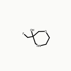 OC1(CF)CNCCOC1